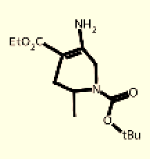 CCOC(=O)C1=C(N)CN(C(=O)OC(C)(C)C)C(C)C1